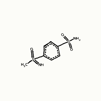 CS(=N)(=O)c1ccc(S(N)(=O)=O)cc1